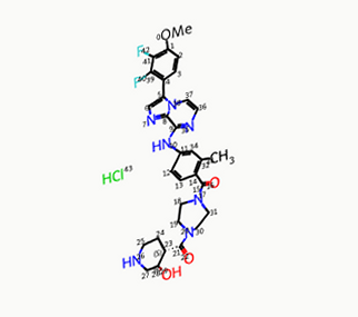 COc1ccc(-c2cnc3c(Nc4ccc(C(=O)N5CCN(C(=O)[C@H]6CCNC[C@@H]6O)CC5)c(C)c4)nccn23)c(F)c1F.Cl